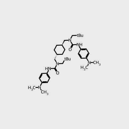 CN(C)c1ccc(NC(=O)N(CC(C)(C)C)C[C@H]2CC[C@H](CN(CC(C)(C)C)C(=O)Nc3ccc(N(C)C)cc3)CC2)cc1